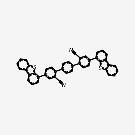 N#Cc1cc(-c2cccc3c2sc2ccccc23)ccc1-c1ccc(-c2ccc(-c3cccc4c3sc3ccccc34)cc2C#N)cc1